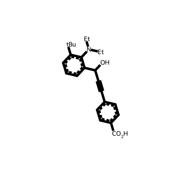 CCN(CC)c1c(C(O)C#Cc2ccc(C(=O)O)cc2)cccc1C(C)(C)C